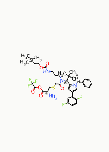 CC(C)(C)[C@H](c1cc(-c2cc(F)ccc2F)cn1Cc1ccccc1)N(CCCNC(=O)OCC[Si](C)(C)C)C(=O)CSC[C@H](N)C(=O)OC(=O)C(F)(F)F